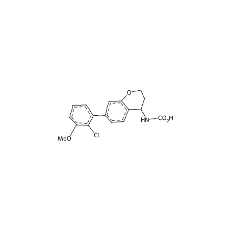 COc1cccc(-c2ccc3c(c2)OCCC3NC(=O)O)c1Cl